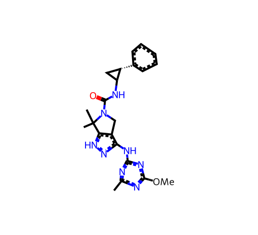 COc1nc(C)nc(Nc2n[nH]c3c2CN(C(=O)NC2C[C@@H]2c2ccccc2)C3(C)C)n1